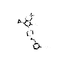 CC[C@@H]1CN(c2cc(C3CC3)c3c(c2C#N)CC(C)(C)OC3)CCN1C(=O)Cc1cccc(OC)c1